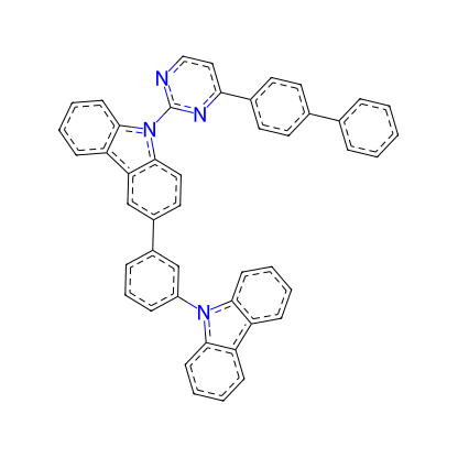 c1ccc(-c2ccc(-c3ccnc(-n4c5ccccc5c5cc(-c6cccc(-n7c8ccccc8c8ccccc87)c6)ccc54)n3)cc2)cc1